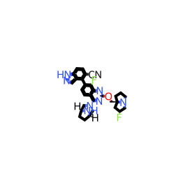 N#Cc1ccc2[nH]ncc2c1-c1ccc2c(N3C[C@H]4CC[C@@H](C3)N4)nc(OC[C@@]34CCCN3C[C@H](F)C4)nc2c1F